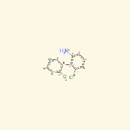 Nc1cccc(Cl)c1-c1ccccc1Cl